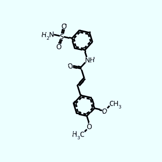 COc1ccc(C=CC(=O)Nc2cccc(S(N)(=O)=O)c2)cc1OC